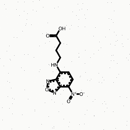 O=C(O)CCCNc1ccc([N+](=O)[O-])c2nonc12